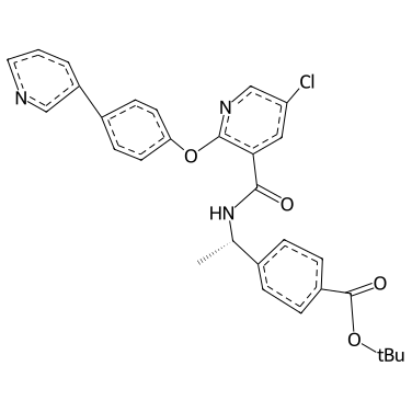 C[C@H](NC(=O)c1cc(Cl)cnc1Oc1ccc(-c2cccnc2)cc1)c1ccc(C(=O)OC(C)(C)C)cc1